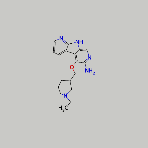 CCN1CCCC(COc2c(N)ncc3[nH]c4ncccc4c23)C1